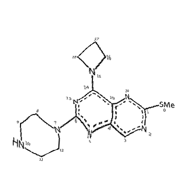 CSc1ncc2nc(N3CCNCC3)nc(N3CCC3)c2n1